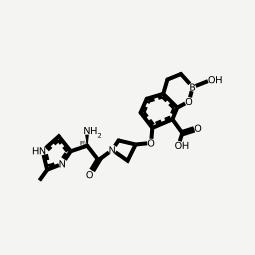 Cc1nc([C@@H](N)C(=O)N2CC(Oc3ccc4c(c3C(=O)O)OB(O)CC4)C2)c[nH]1